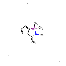 C[SiH]1C2C=CC=C2[PH](C)(C)N1C(C)(C)C